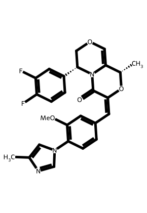 COc1cc(C=C2O[C@@H](C)C3=COC[C@@H](c4ccc(F)c(F)c4)N3C2=O)ccc1-n1cnc(C)c1